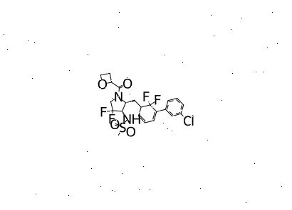 CS(=O)(=O)N[C@@H]1[C@H](CC2C=CC=C(c3cccc(Cl)c3)C2(F)F)N(C(=O)C2CCO2)CC1(F)F